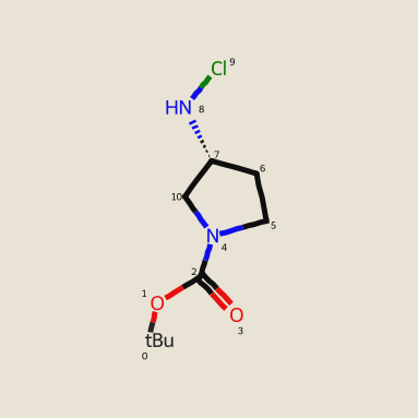 CC(C)(C)OC(=O)N1CC[C@@H](NCl)C1